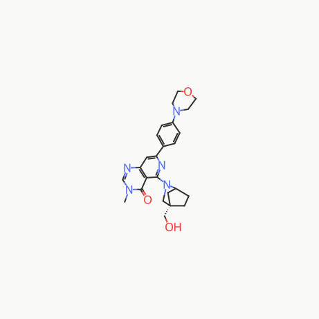 Cn1cnc2cc(-c3ccc(N4CCOCC4)cc3)nc(N3C[C@]4(CO)CCC3C4)c2c1=O